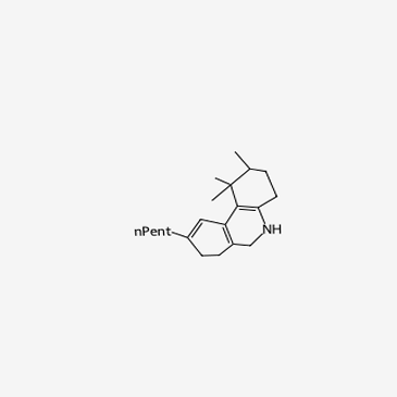 CCCCCC1=CC2=C(CC1)CNC1=C2C(C)(C)C(C)CC1